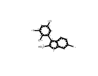 O=C(O)c1sc2cc(F)ccc2c1-c1cc(Cl)cc(F)c1Cl